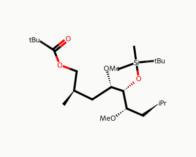 [CH2][C@H](C)C[C@H](OC)[C@@H](O[Si](C)(C)C(C)(C)C)[C@H](C[C@@H](C)COC(=O)C(C)(C)C)OC